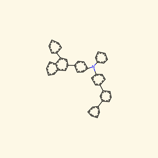 c1ccc(-c2cccc(-c3ccc(N(c4ccccc4)c4ccc(-c5cc(-c6ccccc6)c6ccccc6c5)cc4)cc3)c2)cc1